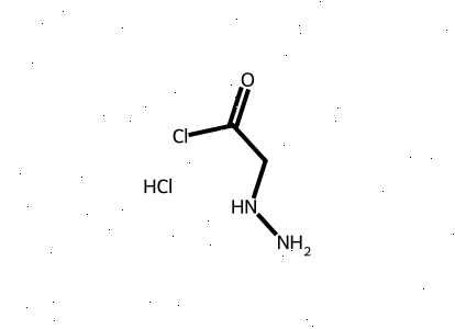 Cl.NNCC(=O)Cl